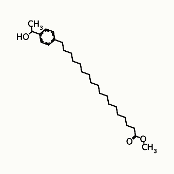 COC(=O)CCCCCCCCCCCCCCCCCc1ccc(C(C)O)cc1